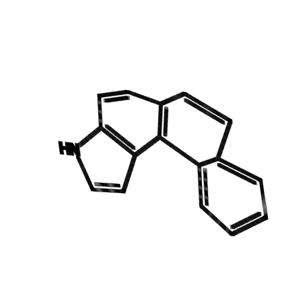 c1ccc2c(c1)ccc1ccc3[nH]ccc3c12